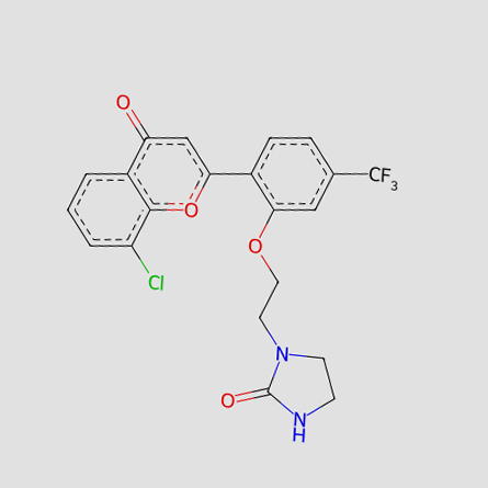 O=C1NCCN1CCOc1cc(C(F)(F)F)ccc1-c1cc(=O)c2cccc(Cl)c2o1